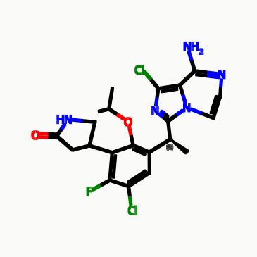 CC(C)Oc1c([C@H](C)c2nc(Cl)c3c(N)nccn23)cc(Cl)c(F)c1C1CNC(=O)C1